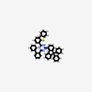 c1ccc(-c2ccccc2-c2nc(-c3cccc4c3-c3ccccc3C4(c3ccccc3)c3ccccc3)nc(-c3cccc4c3sc3ccccc34)n2)cc1